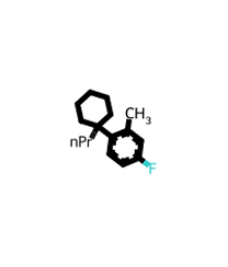 CCCC1(c2ccc(F)cc2C)CCCCC1